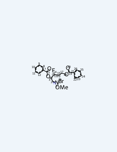 CO/N=C/[C@H](OC(=O)c1ccccc1)[C@H](F)[C@@H](Br)COC(=O)c1ccccc1